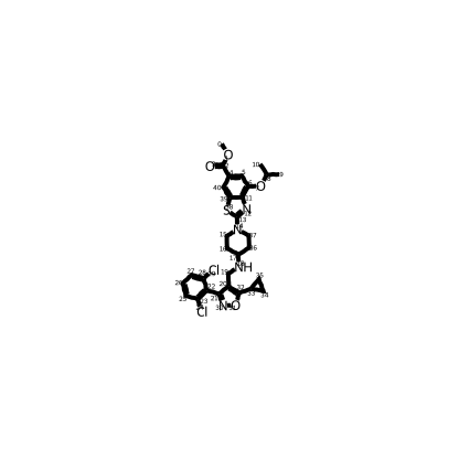 COC(=O)c1cc(OC(C)C)c2nc(N3CCC(NCc4c(-c5c(Cl)cccc5Cl)noc4C4CC4)CC3)sc2c1